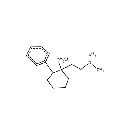 CCOC(=O)C1(CCN(C)C)CCCCC1c1ccccc1